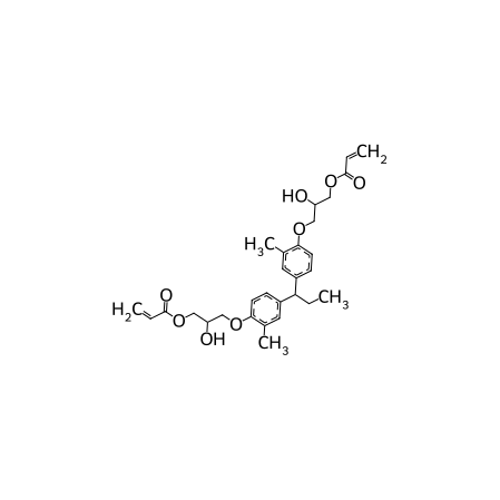 C=CC(=O)OCC(O)COc1ccc(C(CC)c2ccc(OCC(O)COC(=O)C=C)c(C)c2)cc1C